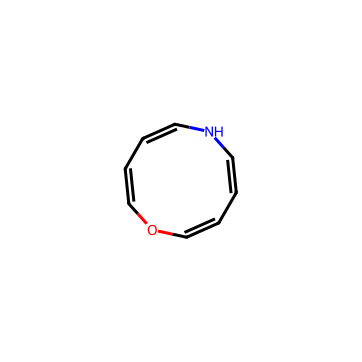 C1=C\N/C=C\C=C/O\C=C/1